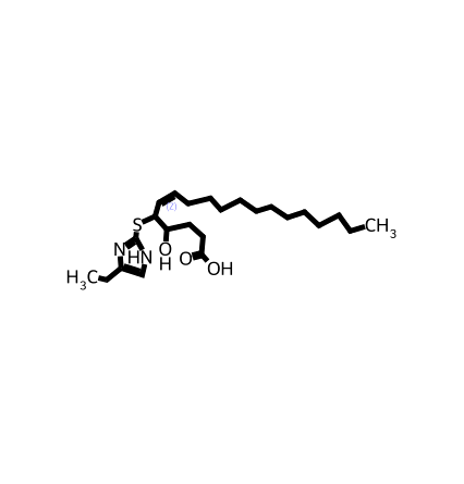 CCCCCCCCCCCC/C=C\C(Sc1nc(CC)c[nH]1)C(O)CCC(=O)O